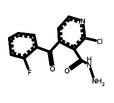 NNC(=O)c1c(C(=O)c2ccccc2F)ccnc1Cl